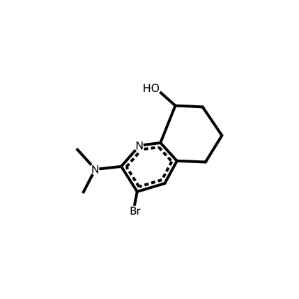 CN(C)c1nc2c(cc1Br)CCCC2O